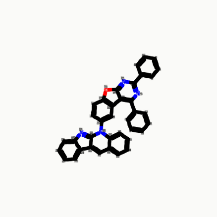 c1ccc(-c2nc(-c3ccccc3)c3c(n2)oc2ccc(-n4c5nc6ccccc6c-5cc5ccccc54)cc23)cc1